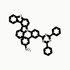 O=[N+]([O-])c1cccc(-c2cc(-c3nc(-c4ccccc4)nc(-c4ccccc4)n3)ccc2-n2c3ccccc3c3c4c(ccc32)oc2ccccc24)c1